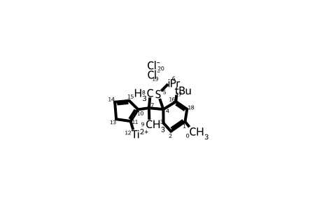 CC1=CCC(SC(C)C)(C(C)(C)C2=[C]([Ti+2])CC=C2)C(C(C)(C)C)=C1.[Cl-].[Cl-]